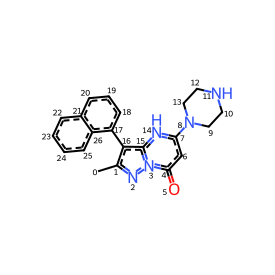 Cc1nn2c(=O)cc(N3CCNCC3)[nH]c2c1-c1cccc2ccccc12